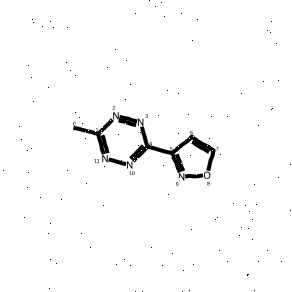 Cc1nnc(-c2ccon2)nn1